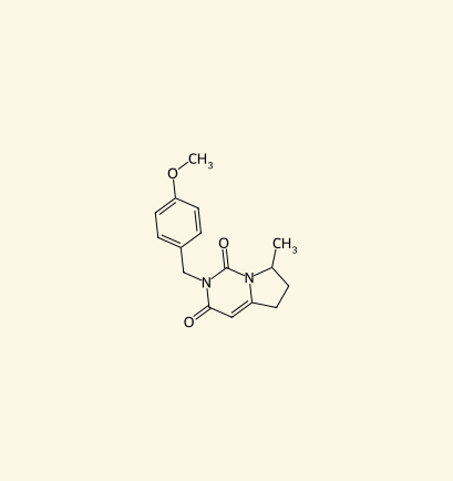 COc1ccc(Cn2c(=O)cc3n(c2=O)C(C)CC3)cc1